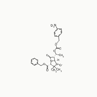 CC(OC(=O)OCc1ccc([N+](=O)[O-])cc1)[C@H]1C(=O)N2[C@@H]1[S+]([O-])C(C)(C)[C@@H]2C(=O)OCc1ccccc1